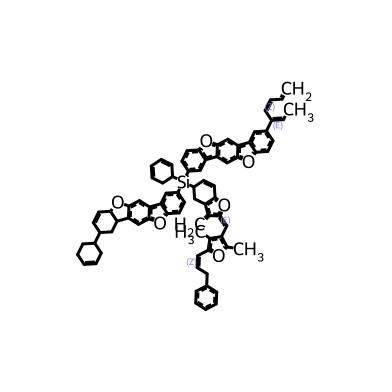 C=C/C=C\C(=C/C)c1ccc2oc3cc4c(cc3c2c1)oc1ccc([Si](c2ccc3oc5cc6c(cc5c3c2)OC2C=CC(C3CC=CCC3)CC62)(C2C=CC=CC2)C2C=Cc3o/c(=C/c5c(C)oc(/C=C\Cc6ccccc6)c5C)c(=C)c3C2)cc14